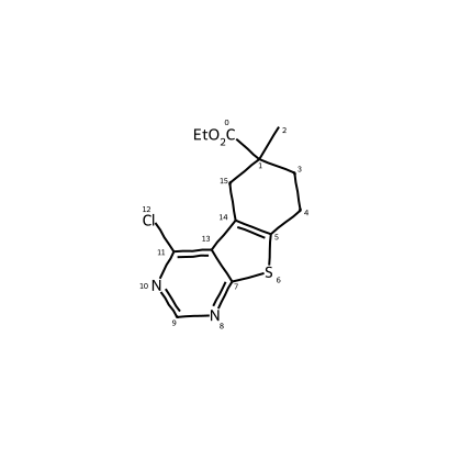 CCOC(=O)C1(C)CCc2sc3ncnc(Cl)c3c2C1